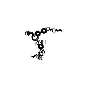 CCCCOCCOc1ccc(-c2ccc3c(c2)/C=C(/c2nc4cc([S+]([O-])Cc5c(C)ncn5CCC)ccc4[nH]2)CCCN3CC2COC2)cc1